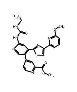 CCNC(=O)Nc1cc(-c2nc(-c3cccc(OC)n3)cs2)c(-c2ccnc(C(=O)OC)c2)cn1